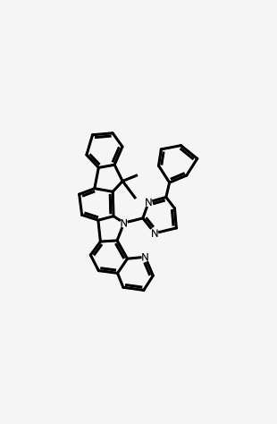 CC1(C)c2ccccc2-c2ccc3c4ccc5cccnc5c4n(-c4nccc(-c5ccccc5)n4)c3c21